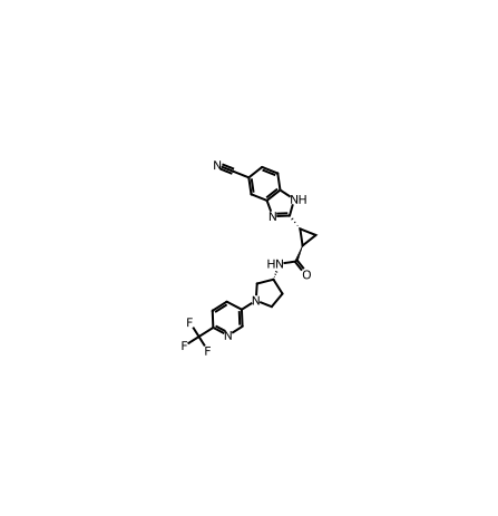 N#Cc1ccc2[nH]c([C@@H]3C[C@H]3C(=O)N[C@@H]3CCN(c4ccc(C(F)(F)F)nc4)C3)nc2c1